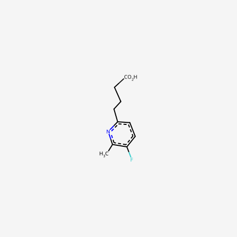 Cc1nc(CCCC(=O)O)ccc1F